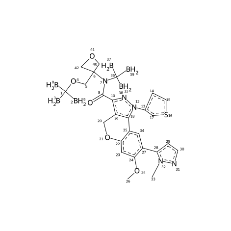 BC(B)(B)OCC1(N(C(=O)c2nn(-c3ccsc3)c3c2COc2cc(OC)c(-c4ccnn4C)cc2-3)C(B)(B)B)COC1